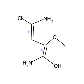 COC(/C=C(\N)Cl)=C(/N)O